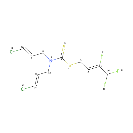 FC(=CCSC(=S)N(CC=CCl)CC=CCl)C(F)F